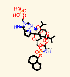 CC(C)C(=O)O[C@H]1[C@@H](OC(=O)C(C)C)[C@](C#N)(c2ccc3c(=N)n(COP(=O)(O)O)cnn23)O[C@@H]1COP(=O)(N[C@@H](C)C(=O)OC1CCCCC1)Oc1cccc2ccccc12